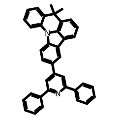 CC1(C)c2ccccc2-n2c3ccc(-c4cc(-c5ccccc5)nc(-c5ccccc5)c4)cc3c3cccc1c32